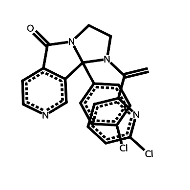 C=C(c1cccc(Cl)n1)N1CCN2C(=O)c3ccncc3C12c1ccc(Cl)cc1